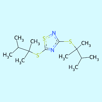 CC(C)C(C)(C)Sc1nsc(SC(C)(C)C(C)C)n1